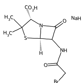 CC1(C)S[C@@H]2C(NC(=O)CBr)C(=O)N2[C@H]1C(=O)O.[NaH]